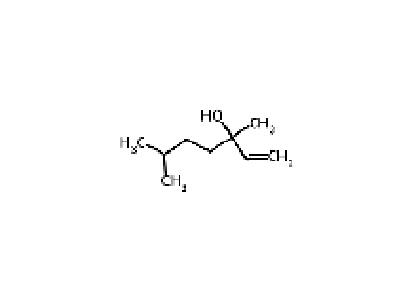 C=CC(C)(O)CCC(C)C